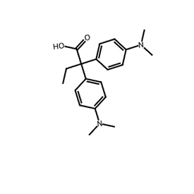 CCC(C(=O)O)(c1ccc(N(C)C)cc1)c1ccc(N(C)C)cc1